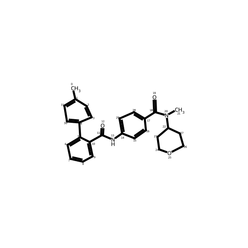 Cc1ccc(-c2ccccc2C(=O)Nc2ccc(C(=O)N(C)C3CCOCC3)cc2)cc1